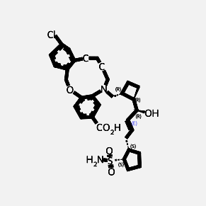 NS(=O)(=O)[C@H]1CCC[C@H]1C/C=C/[C@H](O)[C@@H]1CC[C@H]1CN1CCCCc2cc(Cl)ccc2COc2ccc(C(=O)O)cc21